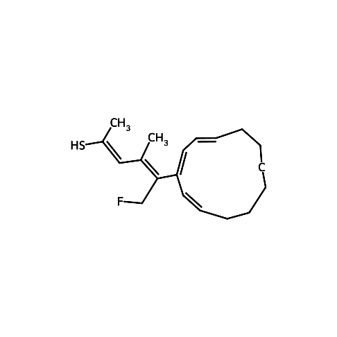 CC(\C=C(/C)S)=C(CF)/C1=C/C=C/CCCCCC/C=C\1